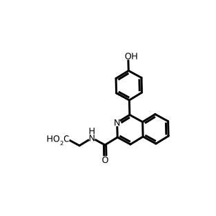 O=C(O)CNC(=O)c1cc2ccccc2c(-c2ccc(O)cc2)n1